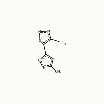 Cc1[c]c(-c2snnc2C)on1